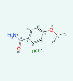 CC(C)Oc1ccc(C(N)=O)cc1.Cl